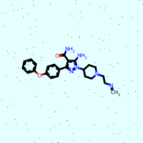 C=NCCN1CCC(n2nc(-c3ccc(Oc4ccccc4)cc3)c(C(N)=O)c2N)CC1